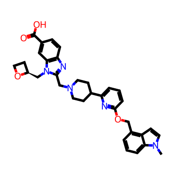 Cn1ccc2c(COc3cccc(C4CCN(Cc5nc6ccc(C(=O)O)cc6n5C[C@@H]5CCO5)CC4)n3)cccc21